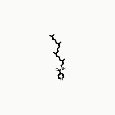 CC(C)=CCCC(C)=CCCC(C)=CCCC(C)=CCNC(=O)c1ccncc1